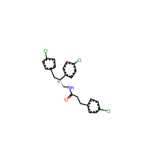 O=C(CCc1ccc(Cl)cc1)NC[C@H](Cc1ccc(Cl)cc1)c1ccc(Cl)cc1